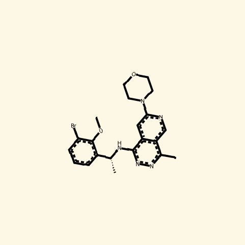 COc1c(Br)cccc1[C@@H](C)Nc1nnc(C)c2cnc(N3CCOCC3)cc12